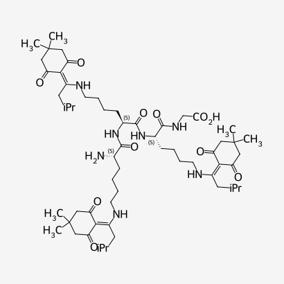 CC(C)CC(NCCCC[C@H](NC(=O)[C@H](CCCCNC(CC(C)C)=C1C(=O)CC(C)(C)CC1=O)NC(=O)[C@@H](N)CCCCNC(CC(C)C)=C1C(=O)CC(C)(C)CC1=O)C(=O)NCC(=O)O)=C1C(=O)CC(C)(C)CC1=O